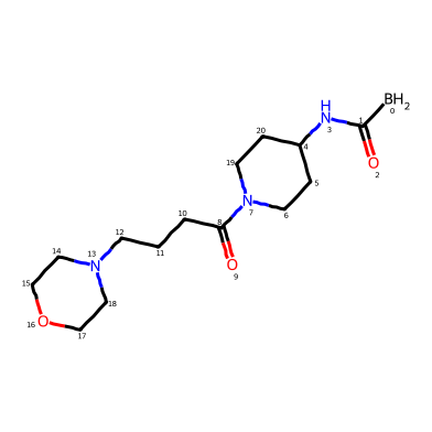 BC(=O)NC1CCN(C(=O)CCCN2CCOCC2)CC1